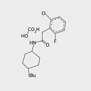 CC(C)(C)C1CCC(NC(=O)Cc2c(F)cccc2Cl)CC1.O=C(O)O